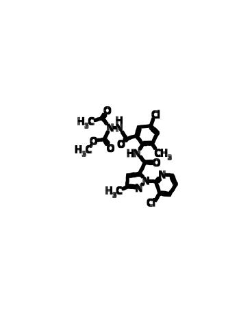 COC(=O)N(NC(=O)c1cc(Cl)cc(C)c1NC(=O)c1cc(C)nn1-c1ncccc1Cl)C(C)=O